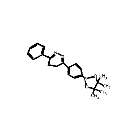 CC1(C)OB(c2ccc(C3=NN=C(c4ccccc4)CC3)cc2)OC1(C)C